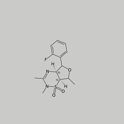 CC1=N[C@H]2C(c3ccccc3F)OC(C)[C@H]2S(=O)(=O)N1C